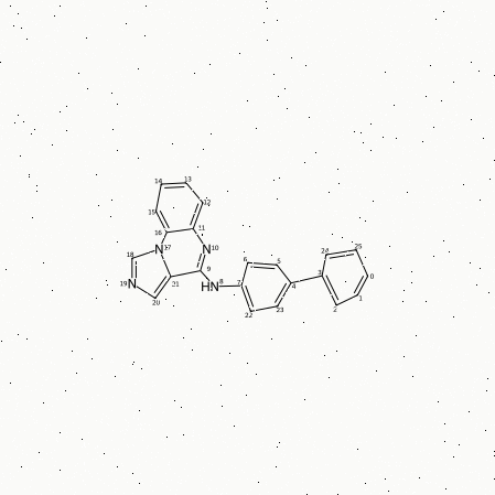 c1ccc(-c2ccc(Nc3nc4ccccc4n4cncc34)cc2)cc1